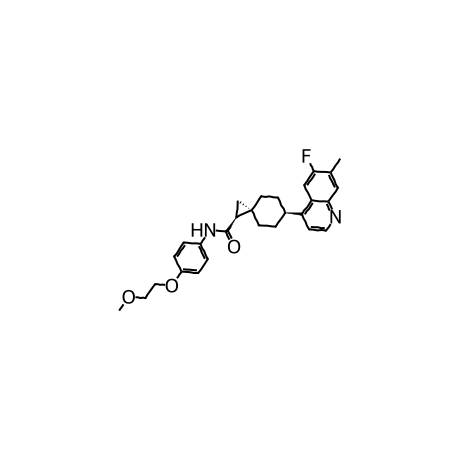 COCCOc1ccc(NC(=O)[C@H]2C[C@]23CC[C@H](c2ccnc4cc(C)c(F)cc42)CC3)cc1